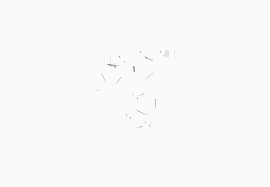 Cc1nc2ccc(-c3cc(N)nc(N)c3)nc2n1CC(C)Oc1ccccc1Cl